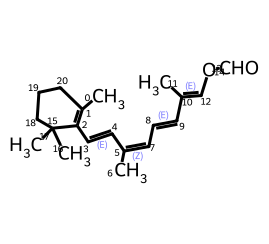 CC1=C(/C=C/C(C)=C\C=C\C(C)=C\OC=O)C(C)(C)CCC1